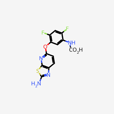 Nc1nc2ccc(Oc3cc(NC(=O)O)c(F)cc3F)nc2s1